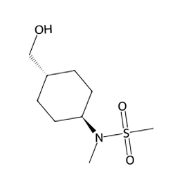 CN([C@H]1CC[C@H](CO)CC1)S(C)(=O)=O